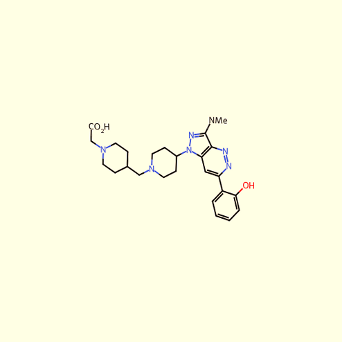 CNc1nn(C2CCN(CC3CCN(CC(=O)O)CC3)CC2)c2cc(-c3ccccc3O)nnc12